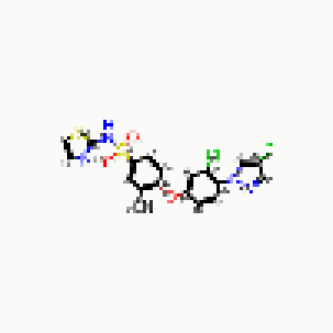 N#Cc1cc(S(=O)(=O)Nc2nccs2)ccc1Oc1ccc(-n2cc(Cl)cn2)c(Cl)c1